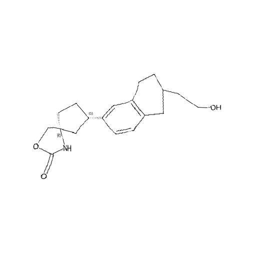 O=C1N[C@@]2(CC[C@H](c3ccc4c(c3)CCC(CCO)C4)C2)CO1